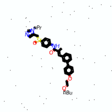 CCCCOCCOc1ccc(-c2cccc(/C=C(\C)C(=O)Nc3ccc([S+]([O-])Cc4cncn4CCC)cc3)c2)cc1